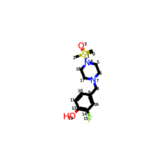 C=S(C)(=O)N1CCN(Cc2ccc(O)c(F)c2)CC1